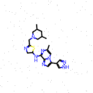 Cc1cn2c(-c3cn[nH]c3)cnc2c(NC2CN=C(CN3CC(C)CC(C)C3)S2)n1